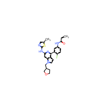 C=CC(=O)Nc1ccc(F)c(-c2nc(Nc3ncc(C)s3)cc3c2ccn3CC2CCOC2)c1